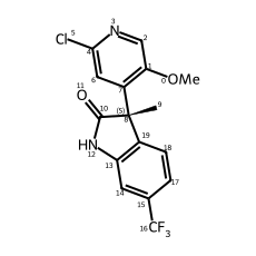 COc1cnc(Cl)cc1[C@@]1(C)C(=O)Nc2cc(C(F)(F)F)ccc21